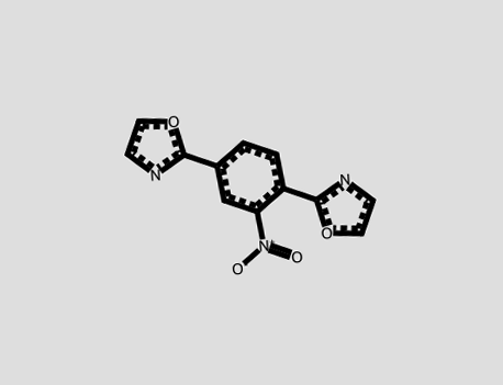 O=[N+]([O-])c1cc(-c2ncco2)ccc1-c1ncco1